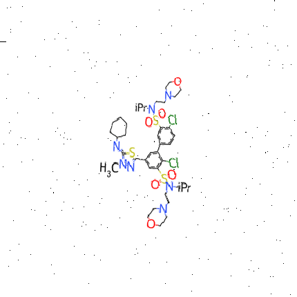 CC(C)N(CCN1CCOCC1)S(=O)(=O)c1cc(-c2cc(-c3nn(C)c(=NC4CCCCC4)s3)cc(S(=O)(=O)N(CCN3CCOCC3)C(C)C)c2Cl)ccc1Cl